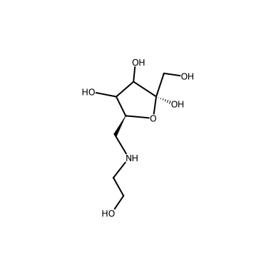 OCCNC[C@@H]1O[C@](O)(CO)C(O)C1O